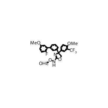 COc1ccc(F)c(-c2cccc(C3(c4ccc(OC)c(C(F)(F)F)c4)COC(NOC=O)=N3)c2)c1